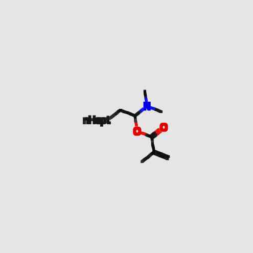 C=C(C)C(=O)OC(CCCCCCCC)N(C)C